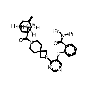 C=C1C[C@@H]2CC[C@H]1[C@@H](C(=O)N1CCC3(CC1)CN(c1ncncc1Oc1ccccc1C(=O)N(C(C)C)C(C)C)C3)N2